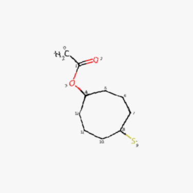 [CH2]C(=O)OC1CCCC([S])CCC1